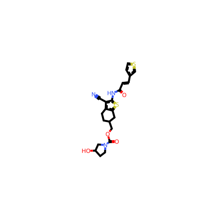 N#Cc1c(NC(=O)C=Cc2ccsc2)sc2c1CCC(COC(=O)N1CCC(O)C1)C2